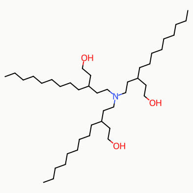 CCCCCCCCCC(CCO)CCN(CCC(CCO)CCCCCCCCC)CCC(CCO)CCCCCCCCC